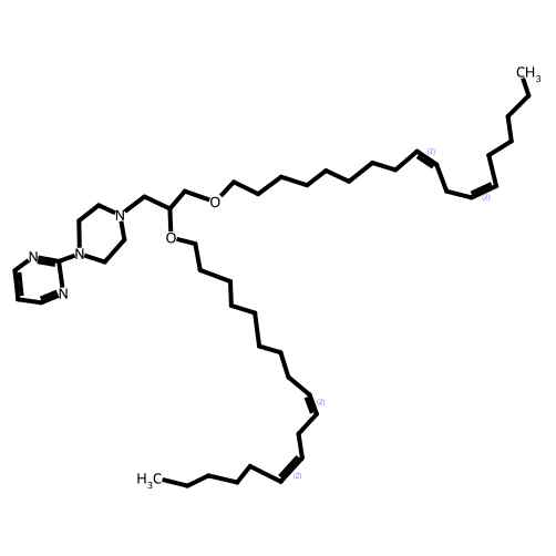 CCCCC/C=C\C/C=C\CCCCCCCCOCC(CN1CCN(c2ncccn2)CC1)OCCCCCCCC/C=C\C/C=C\CCCCC